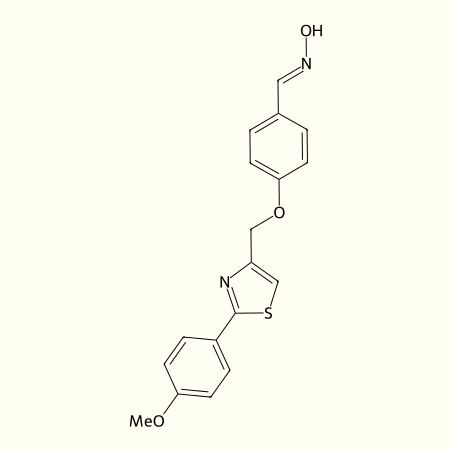 COc1ccc(-c2nc(COc3ccc(/C=N/O)cc3)cs2)cc1